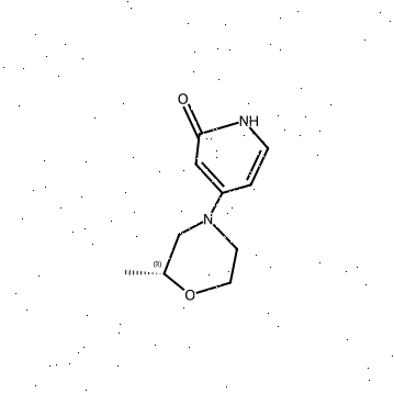 C[C@@H]1CN(c2cc[nH]c(=O)c2)CCO1